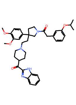 COc1ccc(C2(CCN3CCC(C(=O)c4nc5ccccc5[nH]4)CC3)CCN(C(=O)Cc3cccc(OC(C)C)c3)C2)cc1OC